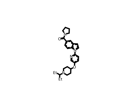 CCC(CC)N1CCC(Oc2ccc(-n3ccc4cc(C(=O)N5CCCC5)ccc43)nc2)CC1